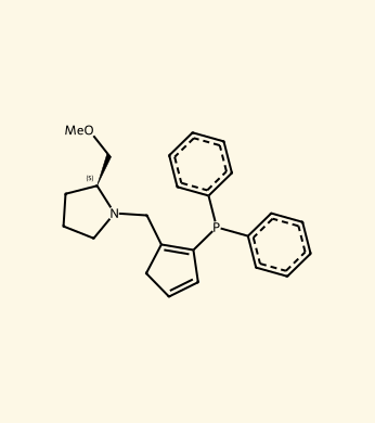 COC[C@@H]1CCCN1CC1=C(P(c2ccccc2)c2ccccc2)C=CC1